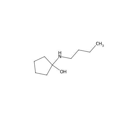 CCCCNC1(O)CCCC1